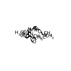 C[C@@H]1COCCN1c1nc2c(cnn2-c2ccn(COCC[Si](C)(C)C)n2)c2c1ccn2S(C)(=O)=O